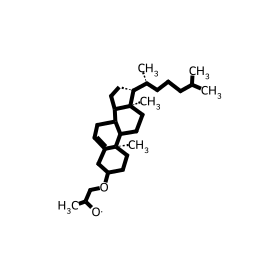 CC(C)CCC[C@@H](C)[C@H]1CCC2C3CC=C4CC(OCC(C)[O])CC[C@]4(C)C3CC[C@@]21C